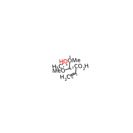 C=CC(=O)O.CO.COCOC